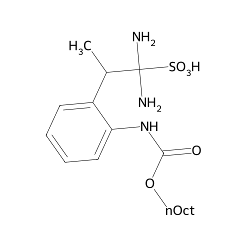 CCCCCCCCOC(=O)Nc1ccccc1C(C)C(N)(N)S(=O)(=O)O